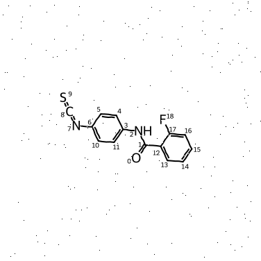 O=C(Nc1ccc(N=C=S)cc1)c1ccccc1F